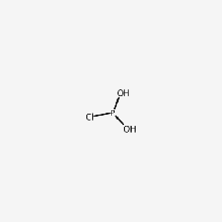 OP(O)Cl